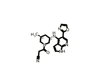 C[C@H]1C[C@H](Nc2c(-c3ncco3)cnc3[nH]ccc23)CN(C(=O)CC#N)C1